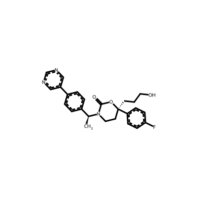 C[C@@H](c1ccc(-c2cncnc2)cc1)N1CC[C@](CCCO)(c2ccc(F)cc2)OC1=O